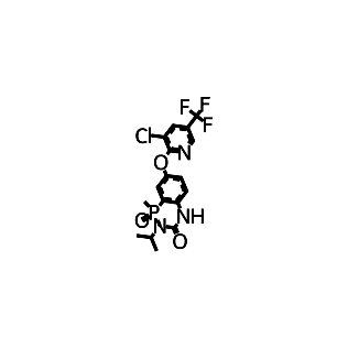 CC(C)N1C(=O)Nc2ccc(Oc3ncc(C(F)(F)F)cc3Cl)cc2P1(C)=O